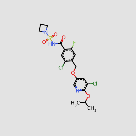 CC(C)Oc1ncc(OCc2cc(F)c(C(=O)NS(=O)(=O)N3CCC3)cc2Cl)cc1Cl